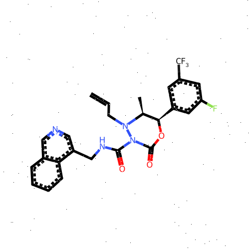 C=CCN1[C@@H](C)[C@@H](c2cc(F)cc(C(F)(F)F)c2)OC(=O)N1C(=O)NCc1cncc2ccccc12